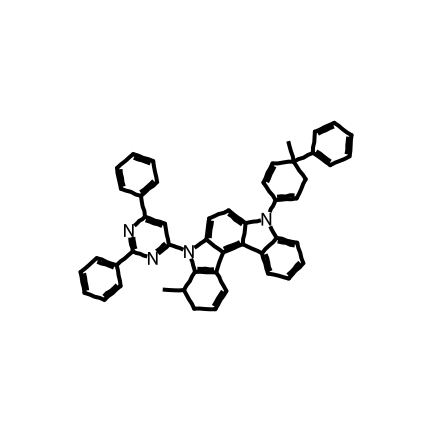 CC1CC=Cc2c1n(-c1cc(-c3ccccc3)nc(-c3ccccc3)n1)c1ccc3c(c4ccccc4n3C3=CCC(C)(c4ccccc4)C=C3)c21